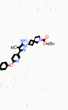 CC(C)(C)OC(=O)N1CC[C@]2(C1)C[C@@H](n1nc(-c3ccc(Oc4ccccc4)nc3)c(C#N)c1N)C2